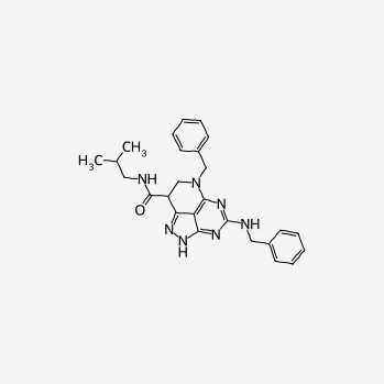 CC(C)CNC(=O)C1CN(Cc2ccccc2)c2nc(NCc3ccccc3)nc3[nH]nc1c23